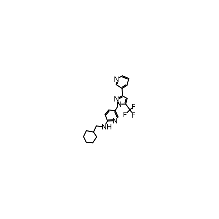 FC(F)(F)c1cc(-c2cccnc2)nn1-c1ccc(NCC2CCCCC2)nc1